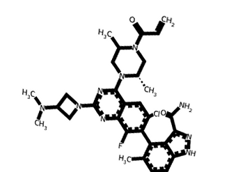 C=CC(=O)N1C[C@H](C)N(c2nc(N3CC(N(C)C)C3)nc3c(F)c(-c4c(C)ccc5[nH]nc(C(N)=O)c45)c(Cl)cc23)CC1C